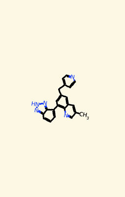 Cc1cnc2c(-c3cccc4n[nH]nc34)cc(Cc3ccncc3)cc2c1